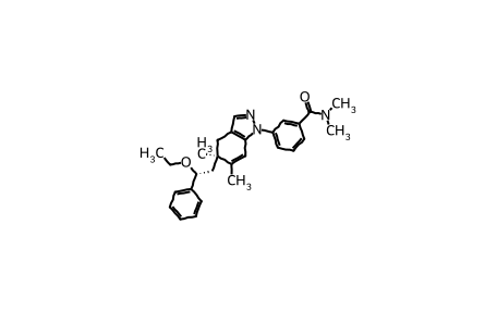 CCO[C@H](C[C@@]1(C)Cc2cnn(-c3cccc(C(=O)N(C)C)c3)c2C=C1C)c1ccccc1